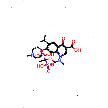 CC(C)c1cc2c(=O)c(C(=O)O)cn(N(C)C(=O)OC(C)(P(=O)(O)O)P(=O)(O)O)c2cc1N1CCN(C)CC1